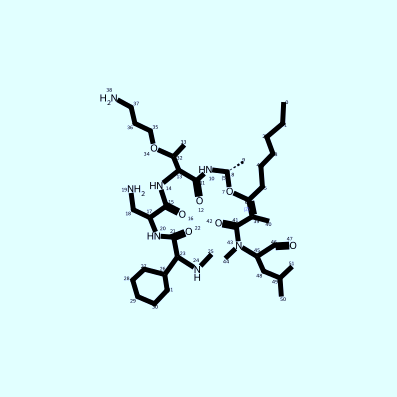 CCCCCC/C(O[C@@H](C)NC(=O)C(NC(=O)C(CN)NC(=O)C(NC)C1CCCCC1)C(C)OCCCN)=C(\C)C(=O)N(C)C(C=O)CC(C)C